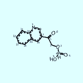 O=C(CO[PH](=O)O)c1cnc2ccccc2c1